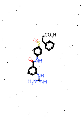 N=C(N)Nc1cccc(C(=O)Nc2ccc([S+]([O-])C(CC(=O)O)c3ccccc3)cc2)c1